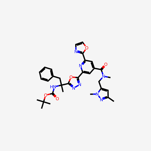 Cc1cc(CN(C)C(=O)c2cc(-c3ncco3)nc(-c3nnc(C(C)(Cc4ccccc4)NC(=O)OC(C)(C)C)o3)c2)n(C)n1